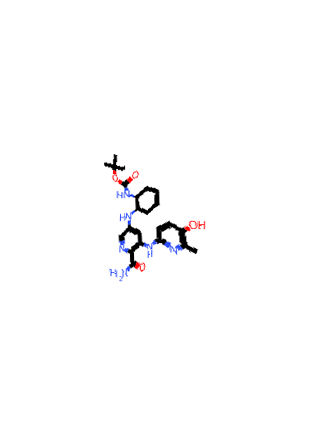 Cc1nc(Nc2cc(N[C@@H]3CCCC[C@@H]3NC(=O)OC(C)(C)C)cnc2C(N)=O)ccc1O